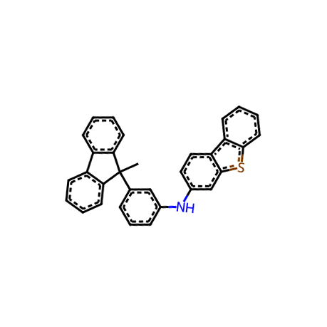 CC1(c2cccc(Nc3ccc4c(c3)sc3ccccc34)c2)c2ccccc2-c2ccccc21